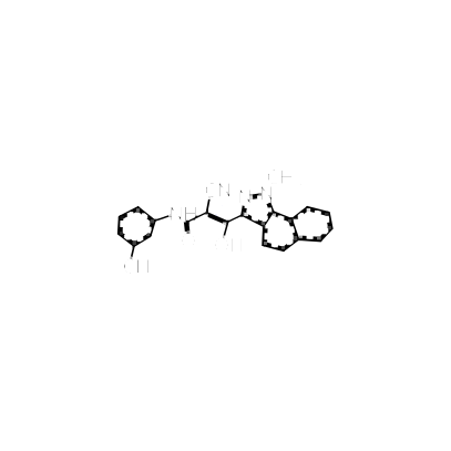 Cc1cccc(NC(=O)/C(C#N)=C(\O)c2nn(C)c3c2ccc2ccccc23)c1